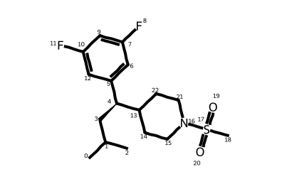 CC(C)C[C@@H](c1cc(F)cc(F)c1)C1CCN(S(C)(=O)=O)CC1